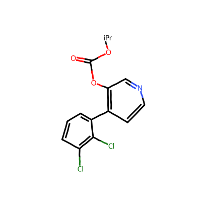 CC(C)OC(=O)Oc1cnccc1-c1cccc(Cl)c1Cl